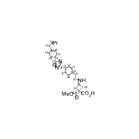 COC(=O)C1(C(=O)O)CC(NCCc2ccc(-c3noc(-c4ccc(CC(C)C)cc4)n3)cc2)C1